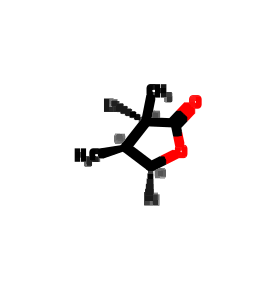 CC[C@H]1OC(=O)[C@@](C)(CC)[C@@H]1C